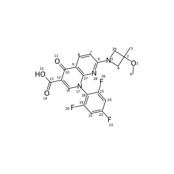 COC1(C)CN(c2ccc3c(=O)c(C(=O)O)cn(-c4c(F)cc(F)cc4F)c3n2)C1